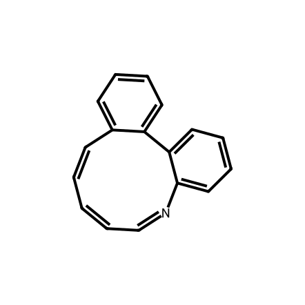 c1ccnc2ccccc2c2ccccc2cc1